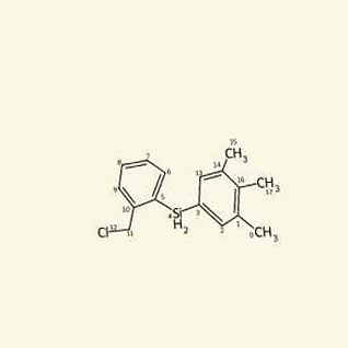 Cc1cc([SiH2]c2ccccc2CCl)cc(C)c1C